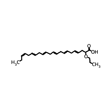 CC/C=C\CC=CCC=CCC=CCC=CCC=CCC(OCCC)C(=O)O